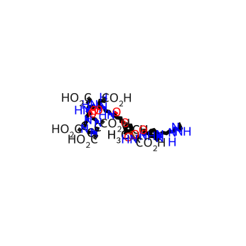 Cc1cc(OCCCC(=O)NCCNC(=O)C(CCC(=O)O)NC(=O)[C@H](CCC(=O)O)NC(=O)CN2CCN(CC(=O)O)CCN(CC(=O)O)CCN(CC(=O)O)CC2)cc(C)c1S(=O)(=O)N[C@@H](CNC(=O)c1ccc2c(cnn2CCCNc2ncc[nH]2)c1)C(=O)O